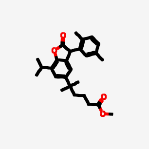 COC(=O)CCCC(C)(C)c1cc(C(C)C)c2c(c1)C(c1cc(C)ccc1C)C(=O)O2